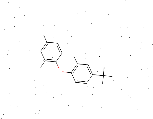 CCC(C)(C)c1ccc(Oc2ccc(C(F)(F)F)cc2[N+](=O)[O-])c(C(=O)O)c1